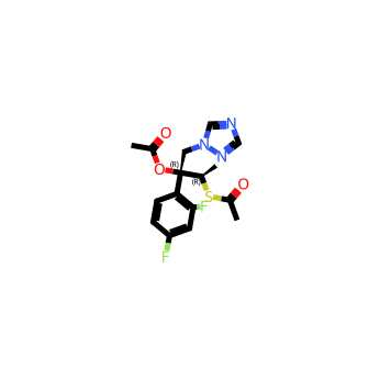 CC(=O)O[C@@](Cn1cncn1)(c1ccc(F)cc1F)[C@@H](C)SC(C)=O